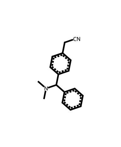 CN(C)C(c1ccccc1)c1ccc(CC#N)cc1